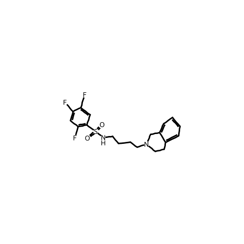 O=S(=O)(NCCCCN1CCc2ccccc2C1)c1cc(F)c(F)cc1F